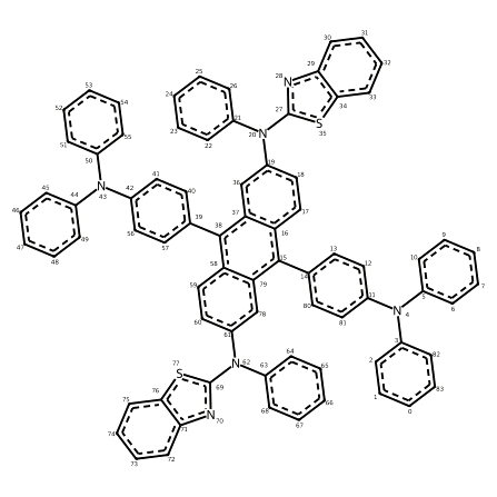 c1ccc(N(c2ccccc2)c2ccc(-c3c4ccc(N(c5ccccc5)c5nc6ccccc6s5)cc4c(-c4ccc(N(c5ccccc5)c5ccccc5)cc4)c4ccc(N(c5ccccc5)c5nc6ccccc6s5)cc34)cc2)cc1